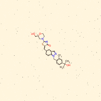 CC(C)(O)c1ccc(Cn2ncc3cc(C=C4SC(N5CCO[C@H](CO)C5)=NC4=O)ccc32)c(C(F)(F)F)c1